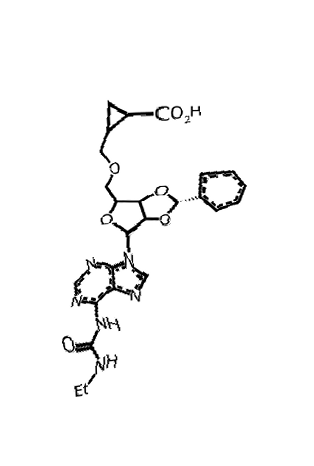 CCNC(=O)Nc1ncnc2c1ncn2C1OC(COCC2CC2C(=O)O)C2O[C@H](c3ccccc3)OC21